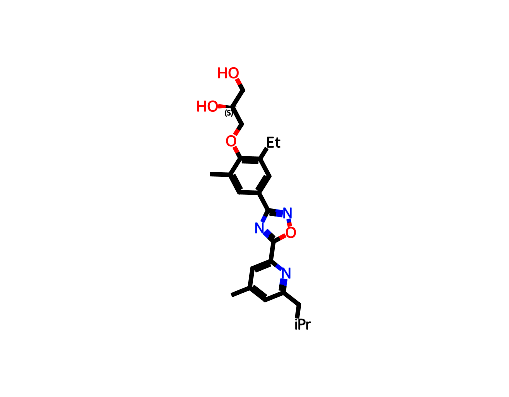 CCc1cc(-c2noc(-c3cc(C)cc(CC(C)C)n3)n2)cc(C)c1OC[C@@H](O)CO